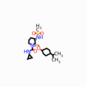 CC(C)C1CCC(OC[C@H]2[C@@H](NS(C)(=O)=O)CCCN2C(=O)NC2CC2)CC1